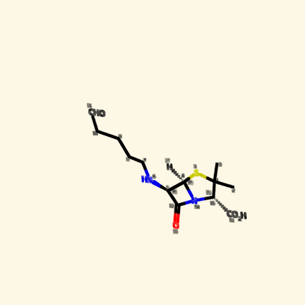 CC1(C)S[C@@H]2[C@H](NCCCCC=O)C(=O)N2[C@H]1C(=O)O